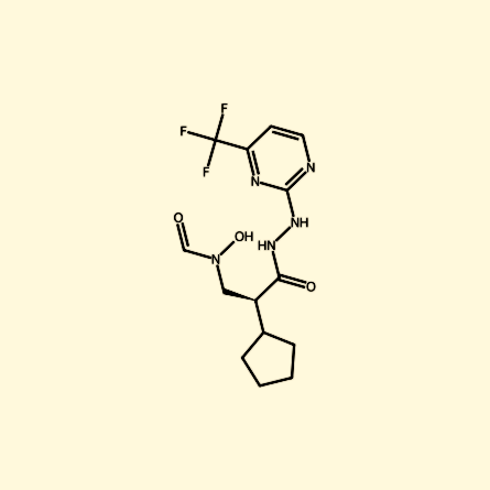 O=CN(O)C[C@@H](C(=O)NNc1nccc(C(F)(F)F)n1)C1CCCC1